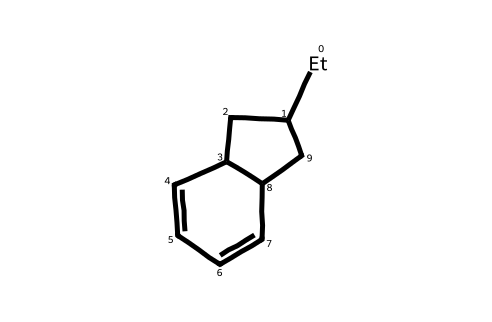 CCC1CC2C=CC=CC2C1